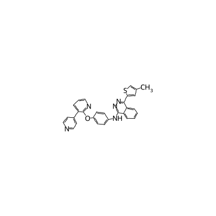 Cc1csc(-c2nnc(Nc3ccc(Oc4ncccc4-c4ccncc4)cc3)c3ccccc23)c1